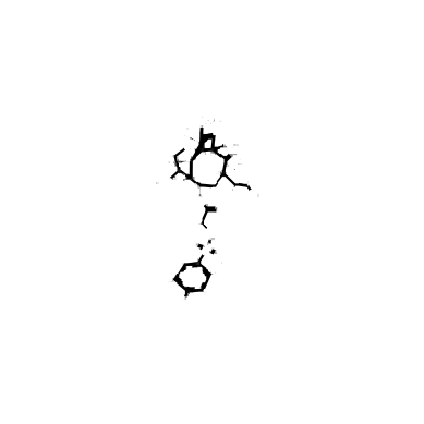 CO[C@@H]1C2C[C@@]34CCC(C)[C@@](C)([C@H](OC(=O)COS(=O)(=O)c5ccc(C)cc5)C[C@](C)(CCO)C(=O)C23C)[C@H]14